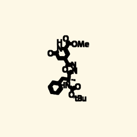 COC(=O)c1cc(-c2nnc([C@](C)(Cc3ccccc3)NC(=O)OC(C)(C)C)o2)cc(=O)[nH]1